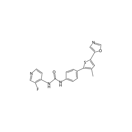 Cc1cc(-c2cnco2)sc1-c1ccc(NC(=O)Nc2ccncc2F)cc1